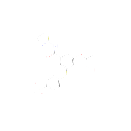 CC(CO)Oc1cc(Sc2ccc(S(C)(=O)=O)cc2)cc(C(=O)Nc2nccs2)c1